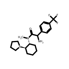 CN(C(=O)C(N)c1ccc(C(F)(F)F)cc1)[C@@H]1CCCC[C@H]1N1CCCC1